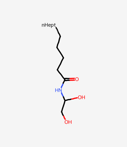 CCCCCCCCCCCC(=O)NC(O)CO